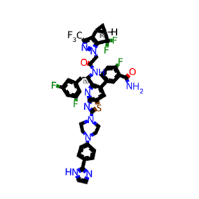 NC(=O)c1cc(-c2cc3sc(N4CCN(c5ccc(-c6ncc[nH]6)cc5)CC4)nc3nc2[C@H](Cc2cc(F)cc(F)c2)NC(=O)Cn2nc(C(F)(F)F)c3c2C(F)(F)[C@@H]2CC32)ccc1F